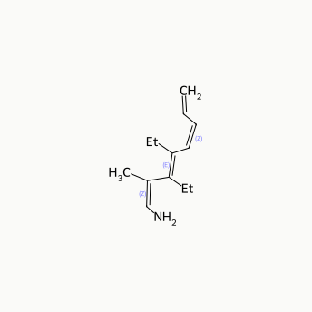 C=C\C=C/C(CC)=C(CC)/C(C)=C\N